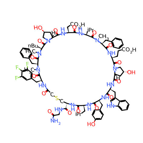 CCCC[C@H]1C(=O)N2C[C@@H](O)C[C@@H]2C(=O)N[C@@H](CC(=O)O)C(=O)N[C@@H](C(C)C)C(=O)N(C)[C@@H](Cc2ccccc2)C(=O)N[C@@H](CCC(=O)O)C(=O)N2C[C@H](O)C[C@@H]2C(=O)N[C@@H](Cc2c[nH]c3ccccc23)C(=O)N[C@@H](Cc2ccc(O)cc2)C(=O)N[C@@H](CC(C)C)C(=O)N[C@H](C(=O)NCC(N)=O)CSCC(=O)N[C@@H](Cc2cc(F)c(F)c(F)c2)C(=O)N(C)[C@@H](Cc2ccccc2)C(=O)N1C